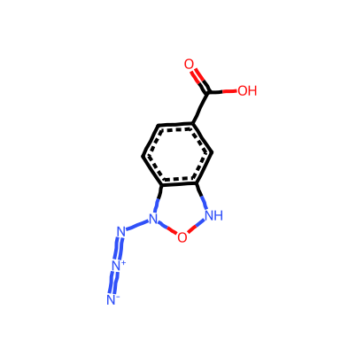 [N-]=[N+]=NN1ONc2cc(C(=O)O)ccc21